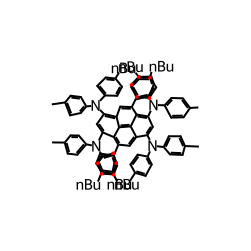 CCCCc1ccc(-c2cc3c(N(c4ccc(C)cc4)c4ccc(CCCC)cc4)cc(N(c4ccc(C)cc4)c4ccc(CCCC)cc4)c4c(-c5ccc(CCCC)cc5)cc5c(N(c6ccc(C)cc6)c6ccc(CCCC)cc6)cc(N(c6ccc(C)cc6)c6ccc(CCCC)cc6)c2c5c34)cc1